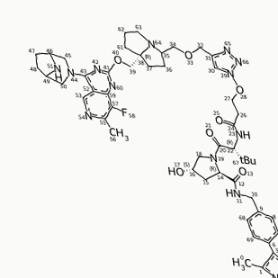 Cc1ncsc1-c1ccc(CNC(=O)[C@H]2C[C@H](O)CN2C(=O)[C@H](NC(=O)CCOn2cc(COCC3CC[C@@]4(COc5nc(N6CC7CCC(C6)N7)c6cnc(C)c(F)c6n5)CCCN34)nn2)C(C)(C)C)cc1